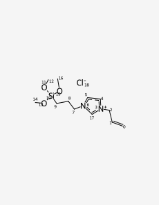 C=CC[n+]1ccn(CCC[Si](OC)(OC)OC)c1.[Cl-]